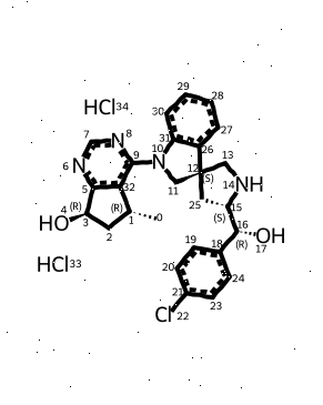 C[C@@H]1C[C@@H](O)c2ncnc(N3C[C@]4(CN[C@H]([C@H](O)c5ccc(Cl)cc5)C4)c4ccccc43)c21.Cl.Cl